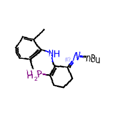 CCCC/N=C1\CCCC(P)=C1Nc1c(C)cccc1C